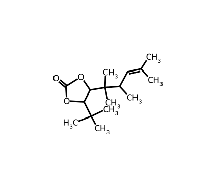 CC(C)=CC(C)C(C)(C)C1OC(=O)OC1C(C)(C)C